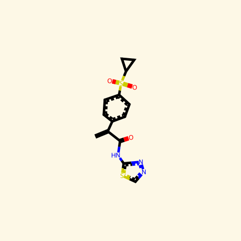 C=C(C(=O)Nc1nncs1)c1ccc(S(=O)(=O)C2CC2)cc1